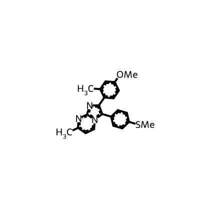 COc1ccc(-c2nc3nc(C)ccn3c2-c2ccc(SC)cc2)c(C)c1